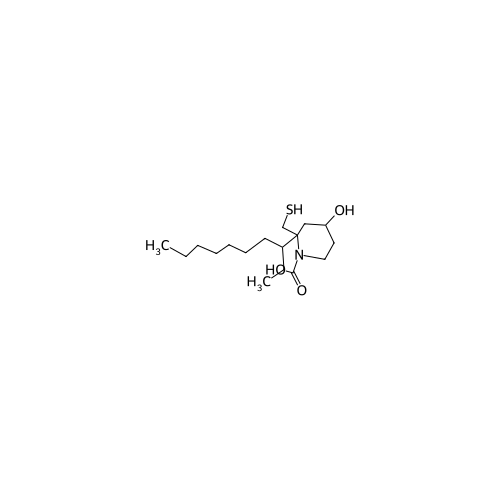 CCCCCCCC(CC)C1(CS)CC(O)CCN1C(=O)O